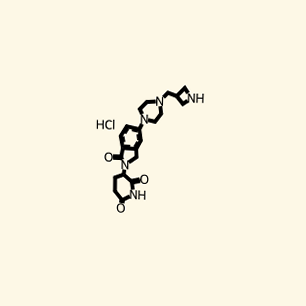 Cl.O=C1CCC(N2Cc3cc(N4CCN(CC5CNC5)CC4)ccc3C2=O)C(=O)N1